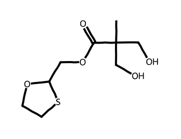 CC(CO)(CO)C(=O)OCC1OCCS1